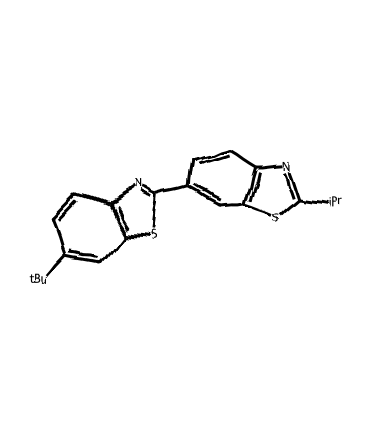 CC(C)c1nc2ccc(-c3nc4ccc(C(C)(C)C)cc4s3)cc2s1